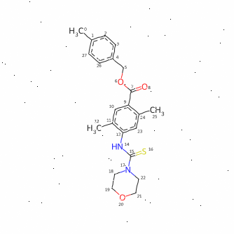 Cc1ccc(COC(=O)c2cc(C)c(NC(=S)N3CCOCC3)cc2C)cc1